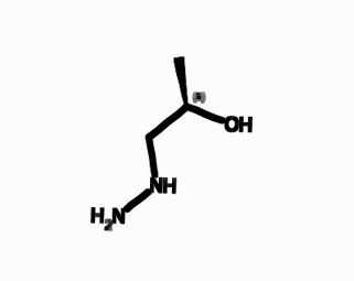 C[C@@H](O)CNN